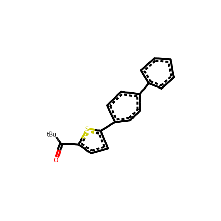 CC(C)(C)C(=O)c1ccc(-c2ccc(-c3ccccc3)cc2)s1